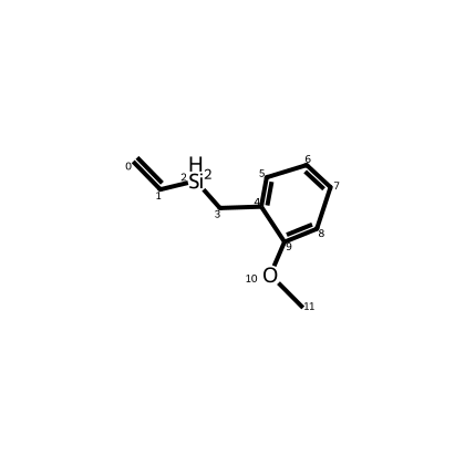 C=C[SiH2]Cc1ccccc1OC